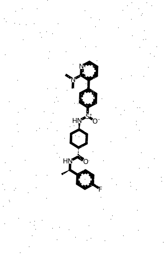 C[C@@H](NC(=O)[C@H]1CC[C@H](N[S+]([O-])c2ccc(-c3cccnc3N(C)C)cc2)CC1)c1ccc(F)cc1